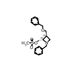 CS(=O)(=O)OC[C@@H]1[C@@H](COCc2ccccc2)CN1Cc1ccccc1